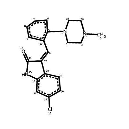 CN1CCN(c2ccccc2C=C2C(=O)Nc3cc(Cl)ccc32)CC1